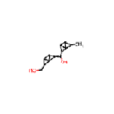 CC1C2C3C(C(O)C4C5C6C(CO)C465)C123